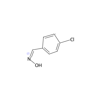 O/N=C\c1c[c]c(Cl)cc1